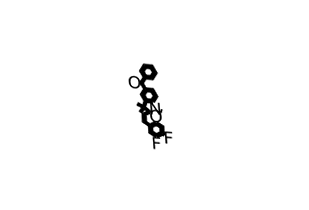 CN1c2ccc(C(=O)c3ccccc3)cc2C(C)(C)C12C=Cc1cc(F)c(F)cc1O2